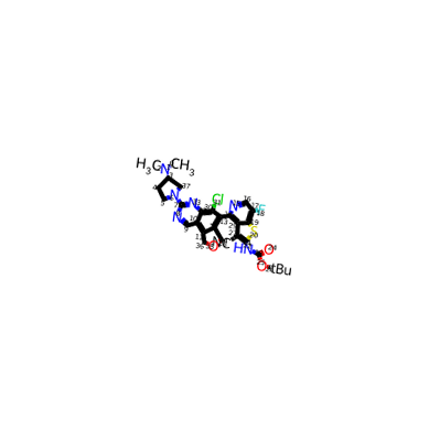 CN(C)[C@H]1CCN(c2ncc3c4c(c(-c5ncc(F)c6sc(NC(=O)OC(C)(C)C)c(C#N)c56)c(Cl)c3n2)COC4)C1